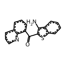 Nc1c(C(=O)c2cccc3cccnc23)sc2ccccc12